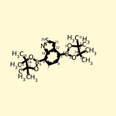 CC1(C)OB(c2ccc(B3OC(C)(C)C(C)(C)O3)c3nscc23)OC1(C)C